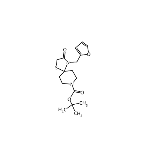 CC(C)(C)OC(=O)N1CCC2(CC1)SCC(=O)N2Cc1ccco1